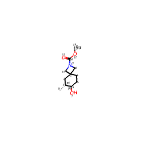 C[C@@H]1CC2(CC[C@H]1O)CN(C(=O)OC(C)(C)C)C2